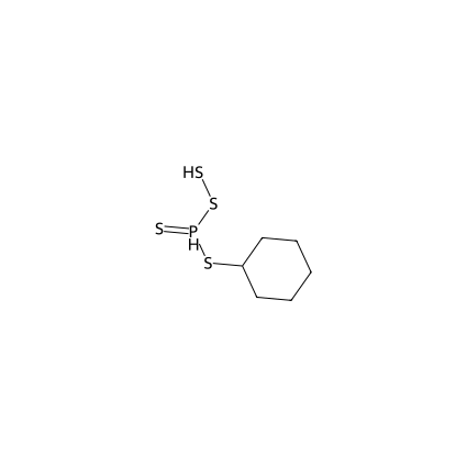 S=[PH](SS)SC1CCCCC1